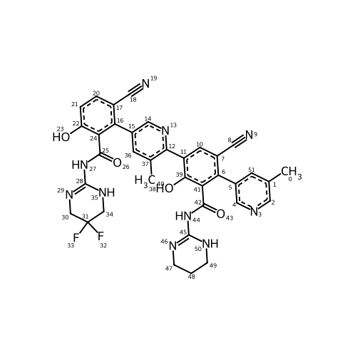 Cc1cncc(-c2c(C#N)cc(-c3ncc(-c4c(C#N)ccc(O)c4C(=O)NC4=NCC(F)(F)CN4)cc3C)c(O)c2C(=O)NC2=NCCCN2)c1